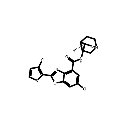 O=C(N[C@@H]1CN2CCC1CC2)c1cc(Cl)cc2oc(-c3sccc3Cl)nc12